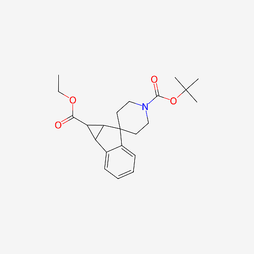 CCOC(=O)C1C2c3ccccc3C3(CCN(C(=O)OC(C)(C)C)CC3)C12